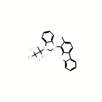 [2H]C([2H])([2H])C([2H])(C)N1c2ccccc2N(c2c(C)ccc3c2oc2ccccc23)[C@@H]1C